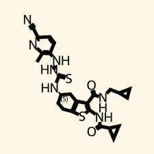 Cc1nc(C#N)ccc1NNC(=S)N[C@H]1CCc2sc(NC(=O)C3CC3)c(C(=O)NCC3CC3)c2C1